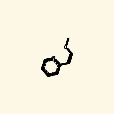 CO/C=C\c1ccccn1